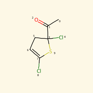 CC(=O)C1(Cl)CC=C(Cl)S1